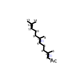 [CH2]C(=O)/C=C(\C)CC/C=C(\C)CCC=C(C)C